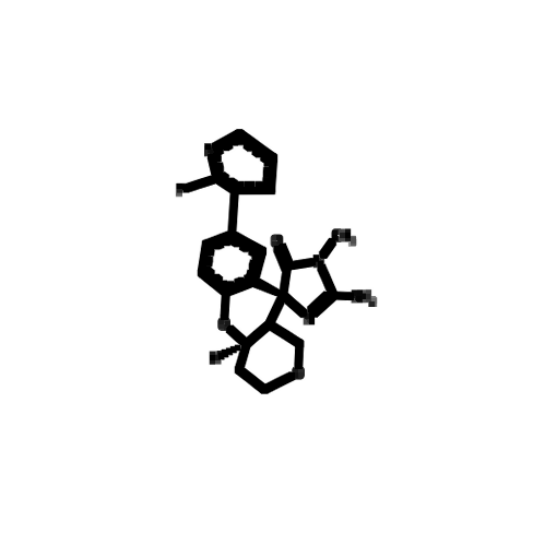 CN1C(=O)[C@@]2(N=C1N)c1cc(-c3cccnc3F)ccc1O[C@@H]1CCOCC12